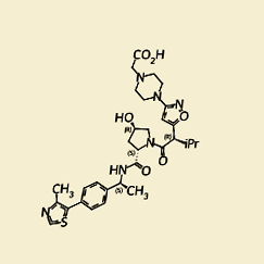 Cc1ncsc1-c1ccc([C@H](C)NC(=O)[C@@H]2C[C@@H](O)CN2C(=O)[C@@H](c2cc(N3CCN(CC(=O)O)CC3)no2)C(C)C)cc1